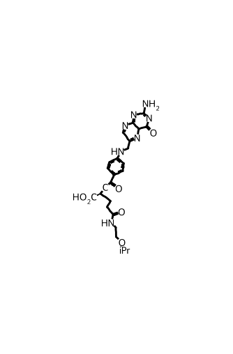 CC(C)OCCNC(=O)CC[C@H](CC(=O)c1ccc(NCC2=NC3C(=O)N=C(N)N=C3N=C2)cc1)C(=O)O